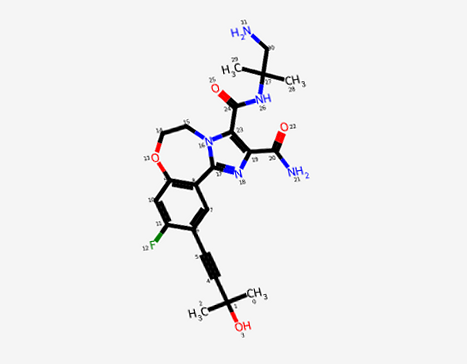 CC(C)(O)C#Cc1cc2c(cc1F)OCCn1c-2nc(C(N)=O)c1C(=O)NC(C)(C)CN